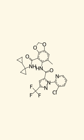 Cc1cc2c(c(C(=O)NC3(C4CC4)CC3)c1NC(=O)c1cc(C(F)(F)F)nn1-c1ncccc1Cl)OCO2